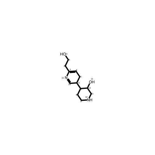 OCCC1=CCC(C2CCNCC2O)C=N1